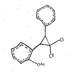 CC(=O)Oc1ccccc1C1C(c2ccccc2)C1(Cl)Cl